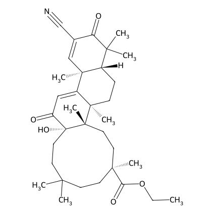 CCOC(=O)[C@@]1(C)CCC(C)(C)CC[C@@]2(O)C(=O)C=C3[C@@]4(C)C=C(C#N)C(=O)C(C)(C)[C@@H]4CC[C@@]3(C)[C@]2(C)CC1